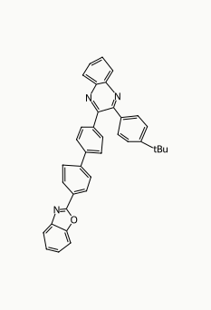 CC(C)(C)c1ccc(-c2nc3ccccc3nc2-c2ccc(-c3ccc(-c4nc5ccccc5o4)cc3)cc2)cc1